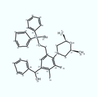 C[C@@H]1CN(c2c(CO[Si](c3ccccc3)(c3ccccc3)C(C)(C)C)cc(C(O)c3ccccc3)c(F)c2F)C[C@H](C)O1